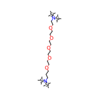 C[Si](C)(C)N(CCCOCCOCCOCCOCCOCCN([Si](C)(C)C)[Si](C)(C)C)[Si](C)(C)C